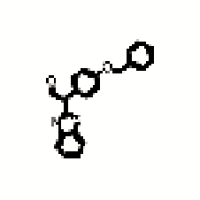 O=CC(c1ccc(OCc2ccccc2)cc1)c1nc2ccccc2s1